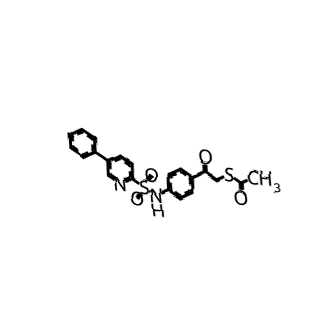 CC(=O)SCC(=O)c1ccc(NS(=O)(=O)c2ccc(-c3ccccc3)cn2)cc1